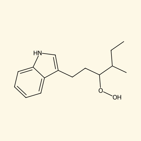 CCC(C)C(CCc1c[nH]c2ccccc12)OO